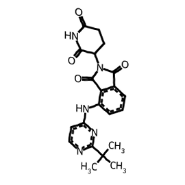 CC(C)(C)c1nccc(Nc2cccc3c2C(=O)N(C2CCC(=O)NC2=O)C3=O)n1